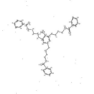 O=C(OCCSCc1cc(CSCCOC(=O)c2ccccc2)c(O)c(CSCCOC(=O)c2ccccc2)c1)c1ccccc1